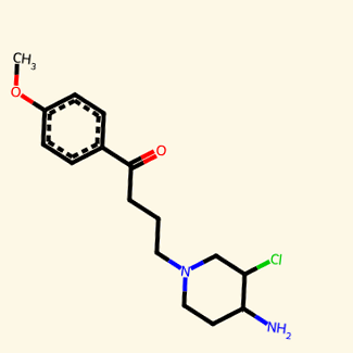 COc1ccc(C(=O)CCCN2CC[C](N)C(Cl)C2)cc1